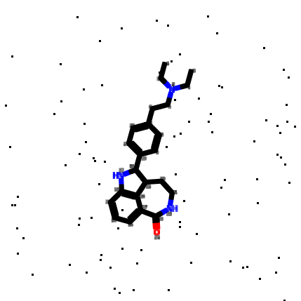 CCN(CC)CCc1ccc(C2Nc3cccc4c3C2CCNC4=O)cc1